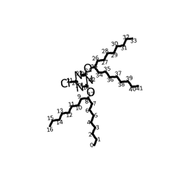 CCCCCCCCC(CCCCCCCC)Oc1nc(Cl)nc(OC(CCCCCCCC)CCCCCCCC)n1